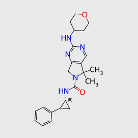 CC1(C)c2cnc(NC3CCOCC3)nc2CN1C(=O)N[C@@H]1CC1c1ccccc1